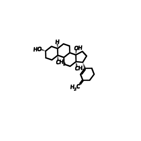 C=C1C=C([C@H]2CC[C@]3(O)C4CC[C@@H]5C[C@@H](O)CC[C@]5(C)C4CC[C@]23C)CCC1